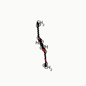 C=CC(=O)OCCCCCCCCCCCOc1ccc(C(=O)Nc2ccc(NC(=O)C3CCC(OCCCCCCCCCCCOC(=O)C=C)CC3)cc2)cc1